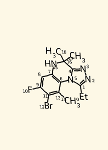 CCc1nnc2n1-c1c(cc(F)c(Br)c1C)NC2(C)C